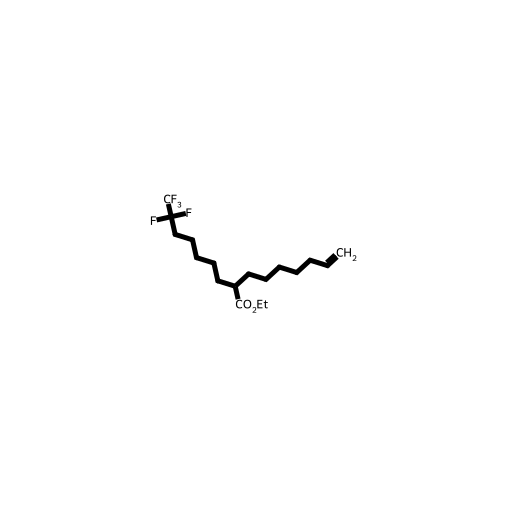 C=CCCCCCC(CCCCCC(F)(F)C(F)(F)F)C(=O)OCC